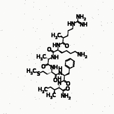 CC[C@H](C)[C@H](NC(=O)[C@H](Cc1ccccc1)NC(=O)[C@H](CCSC)NC(=O)[C@H](C)NC(=O)[C@H](CCCCN)NC(=O)[C@@H](C)CCCNC(=N)N)C(N)=O